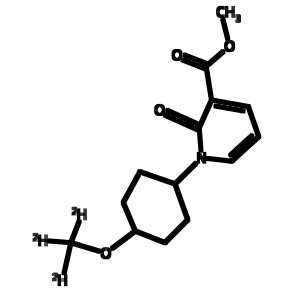 [2H]C([2H])([2H])OC1CCC(n2cccc(C(=O)OC)c2=O)CC1